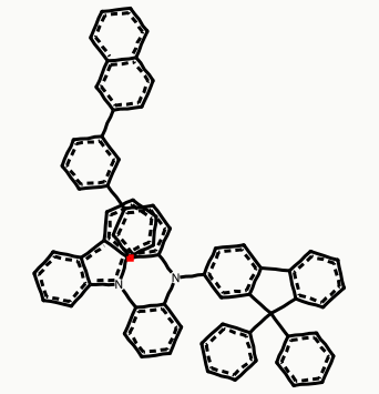 c1ccc(C2(c3ccccc3)c3ccccc3-c3ccc(N(c4ccc(-c5cccc(-c6ccc7ccccc7c6)c5)cc4)c4ccccc4-n4c5ccccc5c5ccccc54)cc32)cc1